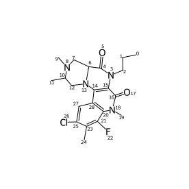 CCCN1C(=O)C2CN(C)C(C)CN2c2c1c(=O)n(C)c1c(F)c(C)c(Cl)cc21